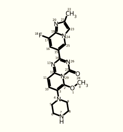 COc1c(N2CCNCC2)ccc2nc(-c3cc(F)c4nc(C)cn4c3)nc(=O)n12